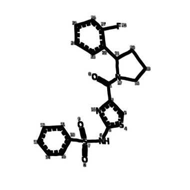 O=C(c1csc(NS(=O)(=O)c2ccccc2)n1)N1CCCC1c1ccccc1F